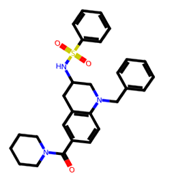 O=C(c1ccc2c(c1)CC(NS(=O)(=O)c1ccccc1)CN2Cc1ccccc1)N1CCCCC1